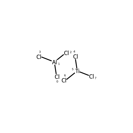 [Cl][Al]([Cl])[Cl].[Cl][Ti]([Cl])[Cl]